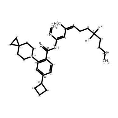 C=N/C(=C\C(C)=C/CCC(F)(F)CCNC)NC(=O)c1ccc(C2CCC2)cc1N1CCC2(CC1)CC2